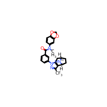 CN(C(=O)c1cccc(-n2nc(C(F)(F)F)c3c2C[C@@H]2CC[C@@H]3N2)c1)c1ccc2c(c1)OCO2